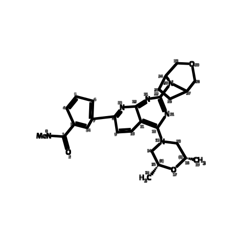 CNC(=O)c1cccc(-c2ccc3c(N4C[C@@H](C)O[C@@H](C)C4)nc(N4C5CCC4COC5)nc3n2)c1